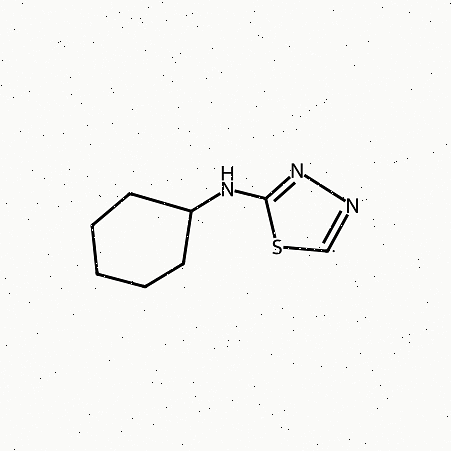 [c]1nnc(NC2CCCCC2)s1